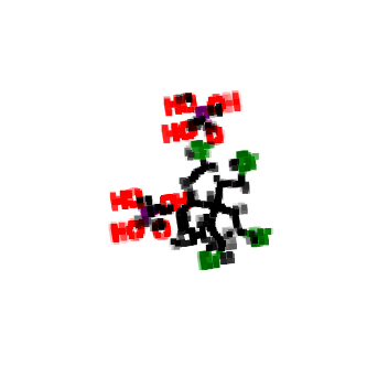 C=CC(CCBr)C(CCBr)(CCBr)CCBr.O=P(O)(O)O.O=P(O)(O)O